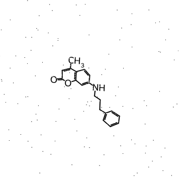 Cc1cc(=O)oc2cc(NCCCc3ccccc3)ccc12